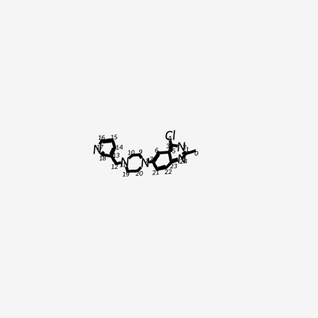 Cc1nc(Cl)c2cc(N3CCN(Cc4cccnc4)CC3)ccc2n1